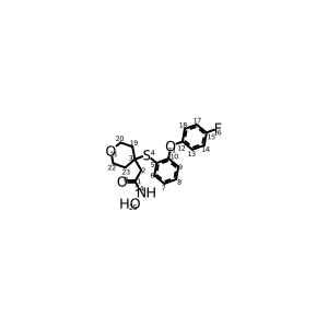 O=C(CC1(Sc2ccccc2Oc2ccc(F)cc2)CCOCC1)NO